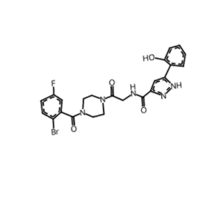 O=C(NCC(=O)N1CCN(C(=O)c2cc(F)ccc2Br)CC1)c1cc(-c2ccccc2O)[nH]n1